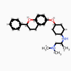 CC(CN(C)C)NC1CCC(Oc2ccc3c(c2)CCC(c2ccccc2)O3)CC1